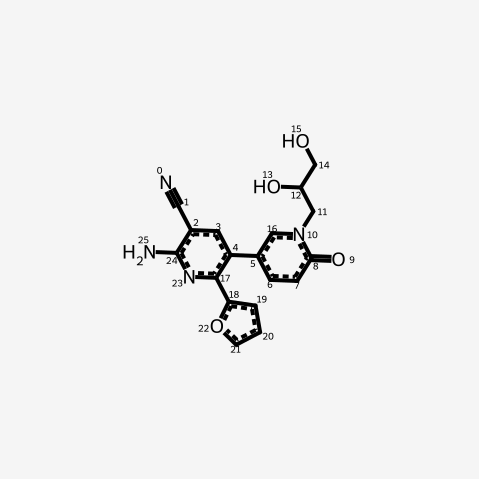 N#Cc1cc(-c2ccc(=O)n(CC(O)CO)c2)c(-c2ccco2)nc1N